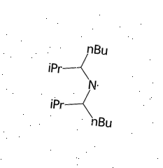 CCCCC([N]C(CCCC)C(C)C)C(C)C